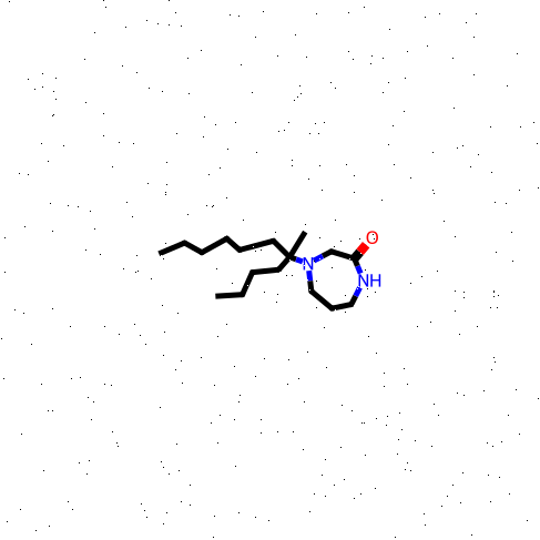 CCCCCCC(C)(CCCC)N1CCCNC(=O)C1